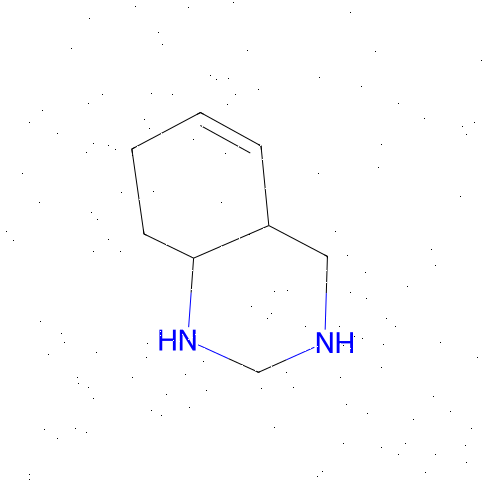 C1=CC2CNCNC2CC1